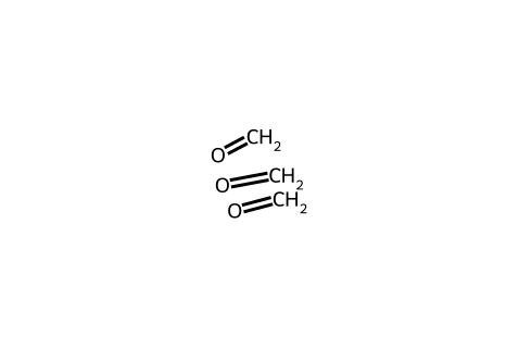 C=O.C=O.C=O